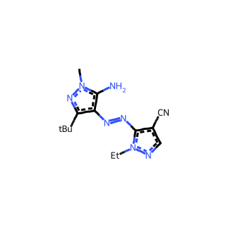 CCn1ncc(C#N)c1N=Nc1c(C(C)(C)C)nn(C)c1N